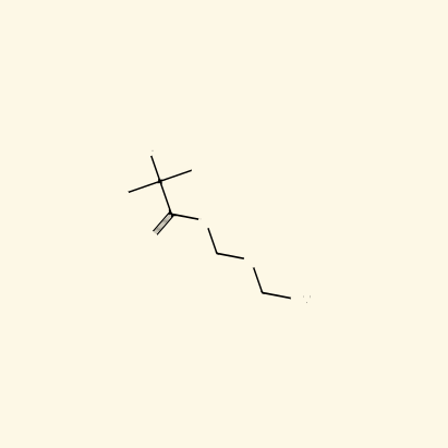 CSCOCOC(=O)C(C)(C)Br